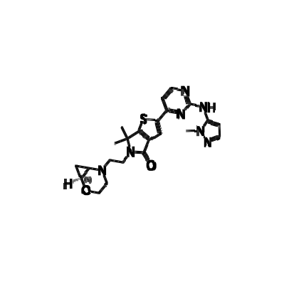 Cn1nccc1Nc1nccc(-c2cc3c(s2)C(C)(C)N(CCN2CCO[C@H]4CC42)C3=O)n1